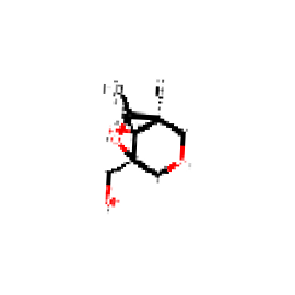 BC1O[C@@]2(CO)COC[C@H]1[C@H]2O